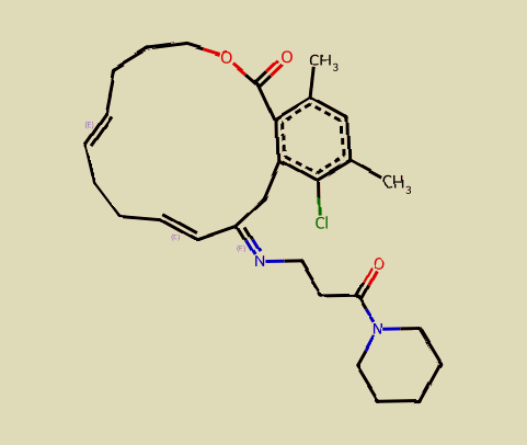 Cc1cc(C)c2c(c1Cl)CC(=N\CCC(=O)N1CCCCC1)/C=C/CC/C=C/CCCOC2=O